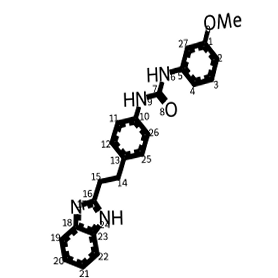 COc1cccc(NC(=O)Nc2ccc(CCc3nc4ccccc4[nH]3)cc2)c1